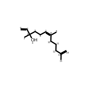 C=CC(C)(O)CCC=C(C)CCCC(=C)C